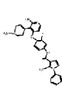 CN1CC=C(c2c(Oc3ccc(NC(=O)c4cnn(-c5ccccc5)c4C(F)(F)F)cc3F)ccnc2N)CC1